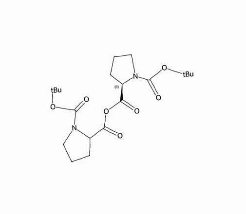 CC(C)(C)OC(=O)N1CCCC1C(=O)OC(=O)[C@H]1CCCN1C(=O)OC(C)(C)C